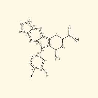 CC1OC(C(=O)O)Cc2c1n(-c1ccc(F)c(F)c1)c1cc3cn[nH]c3cc21